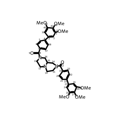 COc1cc(-c2ccc(C(=O)N3CCN4CCN(C(=O)c5ccc(-c6cc(OC)c(OC)c(OC)c6)cc5)CC4C3)cc2)cc(OC)c1OC